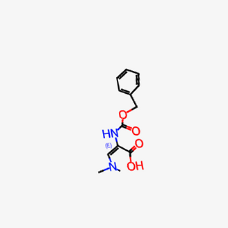 CN(C)/C=C(/NC(=O)OCc1ccccc1)C(=O)O